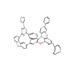 c1ccc(-c2ccc3c(c2)Oc2cc(-c4ccccc4)cc4c2N3c2ccc(-c3ccc5oc6cccc(-c7nc(-c8ccccc8)nc(-c8ccccc8)n7)c6c5c3)cc2O4)cc1